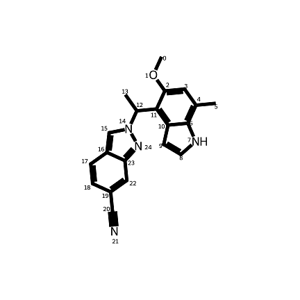 COc1cc(C)c2[nH]ccc2c1C(C)n1cc2ccc(C#N)cc2n1